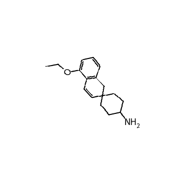 CCOc1cccc2c1C=CC1(CCC(N)CC1)C2